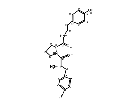 N[C@@H](Cc1ccc(F)cc1)C(=O)N1CCC[C@H]1C(=O)NCCc1ccc(O)cc1